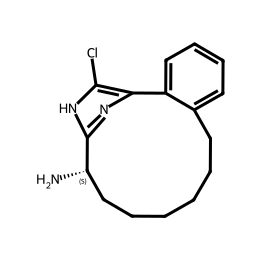 N[C@H]1CCCCCCc2ccccc2-c2nc1[nH]c2Cl